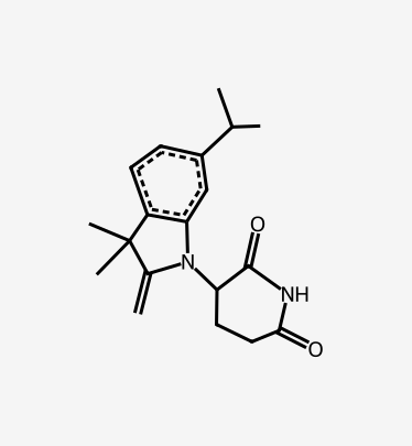 C=C1N(C2CCC(=O)NC2=O)c2cc(C(C)C)ccc2C1(C)C